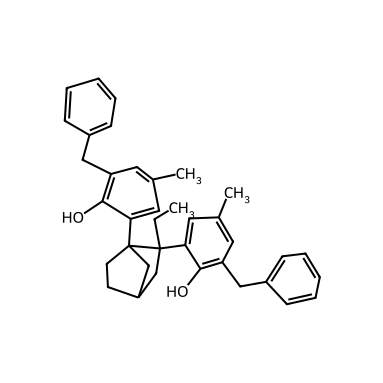 CCC1(c2cc(C)cc(Cc3ccccc3)c2O)CC2CCC1(c1cc(C)cc(Cc3ccccc3)c1O)C2